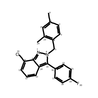 Cc1ccc(Cn2nc3c(Cl)cccc3c2-c2ccc(F)cc2)c(C)c1